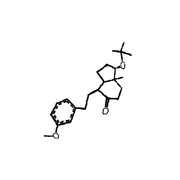 COc1cccc(CCC2C(=O)CCC3(C)C2CC[C@H]3OC(C)(C)C)c1